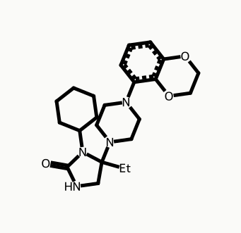 CCC1(N2CCN(c3cccc4c3OCCO4)CC2)CNC(=O)N1C1CCCCC1